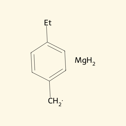 [CH2]c1ccc(CC)cc1.[MgH2]